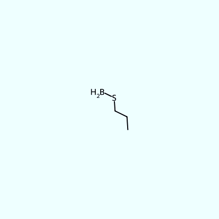 BSCCC